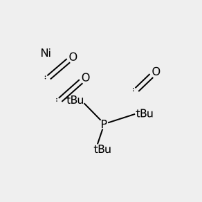 CC(C)(C)P(C(C)(C)C)C(C)(C)C.[C]=O.[C]=O.[C]=O.[Ni]